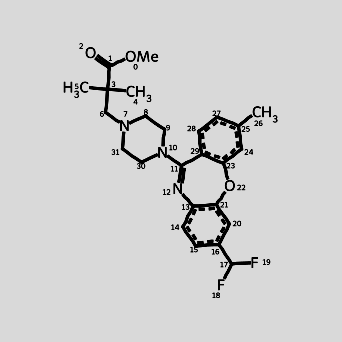 COC(=O)C(C)(C)CN1CCN(C2=Nc3ccc(C(F)F)cc3Oc3cc(C)ccc32)CC1